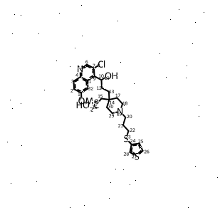 COc1ccc2ncc(Cl)c(C(O)CCC3(CC(=O)O)CCN(CCCSc4ccsc4)CC3)c2c1